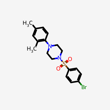 Cc1ccc(N2CCN(S(=O)(=O)c3ccc(Br)cc3)CC2)c(C)c1